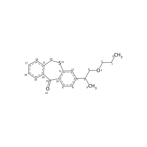 CCCOCC(C)c1ccc2c(c1)SCc1ccccc1C2=O